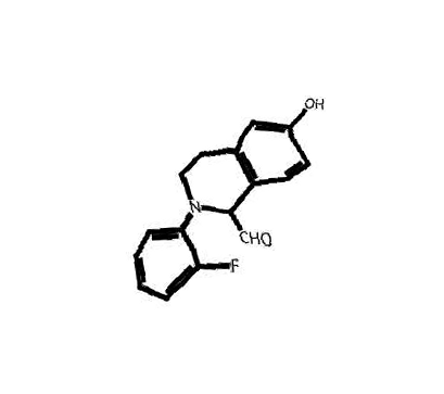 O=CC1c2ccc(O)cc2CCN1c1ccccc1F